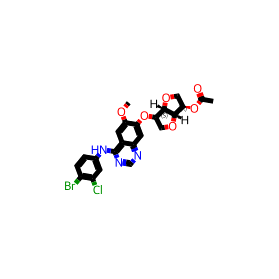 COc1cc2c(Nc3ccc(Br)c(Cl)c3)ncnc2cc1OC1CO[C@H]2[C@H](OC(C)=O)CO[C@@H]12